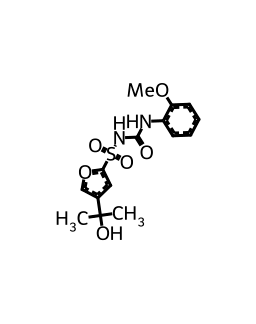 COc1ccccc1NC(=O)NS(=O)(=O)c1cc(C(C)(C)O)co1